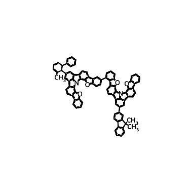 CC1=CC=CC(c2ccccc2)C1c1cc2c3ccc4c5ccccc5oc4c3n3c2c(c1)c1ccc2c4cc(-c5cccc6oc7c(ccc8c9cc(-c%10ccc%11c(c%10)C(C)(C)c%10ccccc%10-%11)cc%10c%11ccc%12c%13ccccc%13oc%12c%11n(c%109)c87)c56)ccc4oc2c13